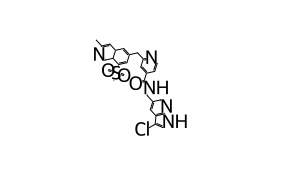 CC1=CC2C=C(Cc3cc(C(=O)NCc4cnc5[nH]cc(Cl)c5c4)ccn3)C=C(S(C)(=O)=O)C2C=N1